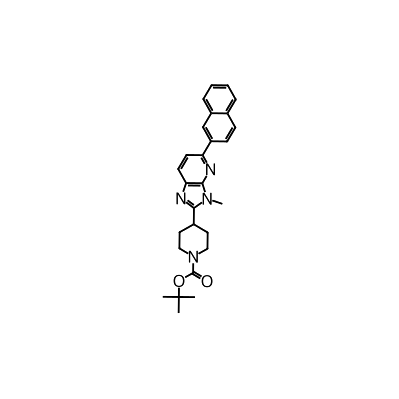 Cn1c(C2CCN(C(=O)OC(C)(C)C)CC2)nc2ccc(-c3ccc4ccccc4c3)nc21